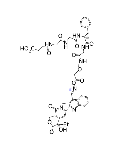 CC[C@@]1(O)C(=O)OCc2c1cc1n(c2=O)Cc2c-1nc1ccccc1c2/C=N/OC(=O)COCNC(=O)CNC(=O)[C@H](Cc1ccccc1)NC(=O)CNC(=O)CNC(=O)CCC(=O)O